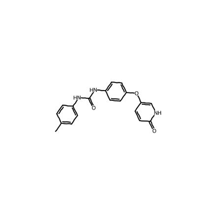 Cc1ccc(NC(=O)Nc2ccc(Oc3ccc(=O)[nH]c3)cc2)cc1